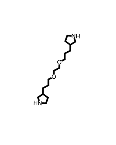 C(COCCOCCCC1CCNC1)CC1CCNC1